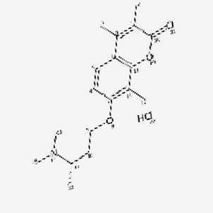 Cc1c(C)c2ccc(OCC[C@H](C)N(C)C)c(C)c2oc1=O.Cl